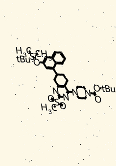 CC(C)(C)OC(=O)N1CCN(c2nc(S(C)(=O)=O)nc3c2CCC(c2cc(O[Si](C)(C)C(C)(C)C)cc4ccccc24)C3)CC1